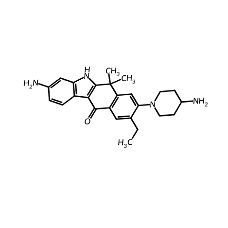 CCc1cc2c(cc1N1CCC(N)CC1)C(C)(C)c1[nH]c3cc(N)ccc3c1C2=O